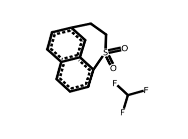 FC(F)F.O=S1(=O)CCc2ccc3cccc1c3c2